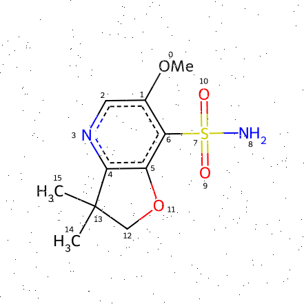 COc1cnc2c(c1S(N)(=O)=O)OCC2(C)C